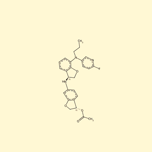 CCCN(c1ccc(F)nc1)c1cccc2c1OC[C@H]2Nc1ccc2c(c1)OC[C@H]2OC(C)=O